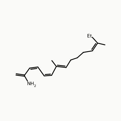 C=C(N)\C=C/C=C\C(C)=C\CCC/C=C(/C)CC